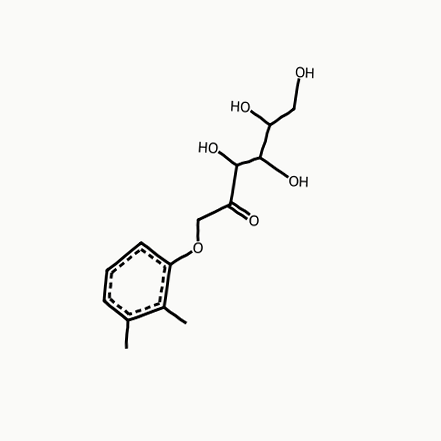 Cc1cccc(OCC(=O)C(O)C(O)C(O)CO)c1C